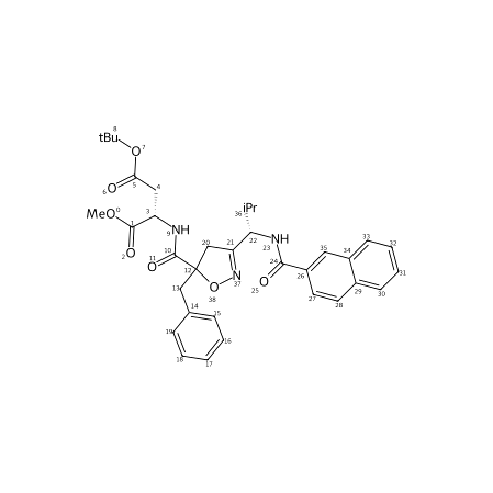 COC(=O)[C@H](CC(=O)OC(C)(C)C)NC(=O)C1(Cc2ccccc2)CC([C@@H](NC(=O)c2ccc3ccccc3c2)C(C)C)=NO1